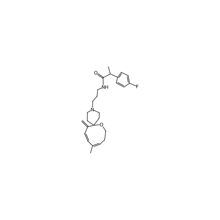 C=C1/C=C\C(C)=C/CCOC12CCN(CCCNC(=O)C(C)c1ccc(F)cc1)CC2